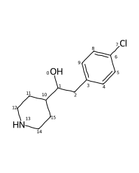 OC(Cc1ccc(Cl)cc1)C1CCNCC1